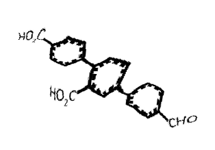 O=Cc1ccc(-c2ccc(-c3ccc(C(=O)O)cc3)c(C(=O)O)c2)cc1